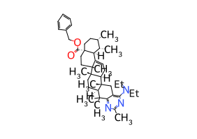 CCN(CC)c1nc(C)nc2c1C[C@]1(C)[C@H](CC[C@@]3(C)[C@H]1CC=C1[C@@H]4[C@@H](C)[C@@H](C)CC[C@]4(C(=O)OCc4ccccc4)CC[C@]13C)C2(C)C